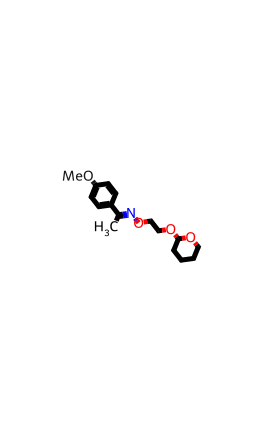 COc1ccc(C(C)=NOCCOC2CCCCO2)cc1